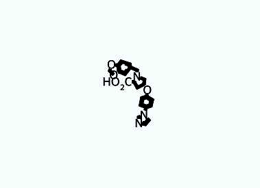 O=C(O)C1CC(Oc2ccc(-n3ccnc3)cc2)CN1Cc1ccc2c(c1)OCO2